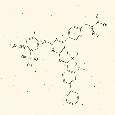 COc1cc(-c2ccccc2)ccc1[C@@H](Oc1cc(-c2ccc(C[C@H](N)C(=O)O)cc2)nc(N)n1)C(F)(F)F.Cc1ccc(S(=O)(=O)O)cc1.O.O